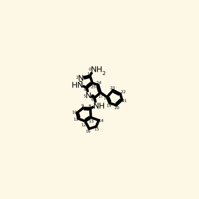 Nc1n[nH]c2nc(Nc3cccc4c3CCC4)c(-c3ccccc3)cc12